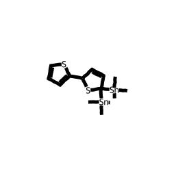 [CH3][Sn]([CH3])([CH3])[C]1([Sn]([CH3])([CH3])[CH3])C=CC(c2cccs2)S1